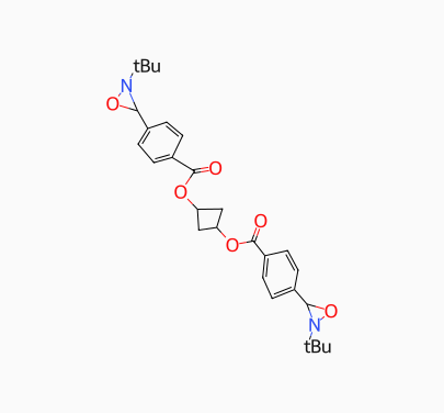 CC(C)(C)N1OC1c1ccc(C(=O)OC2CC(OC(=O)c3ccc(C4ON4C(C)(C)C)cc3)C2)cc1